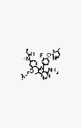 C=CC(=O)Nc1ccc(-c2c(C)c3ncnc(N)c3n2-c2ccc(Oc3nccc(C)n3)c(F)c2)c(OCCN(C)C)c1